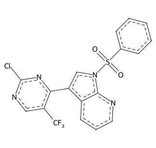 O=S(=O)(c1ccccc1)n1cc(-c2nc(Cl)ncc2C(F)(F)F)c2cccnc21